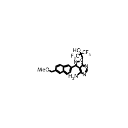 COCc1ccc2cc(-c3nn(CC(O)(C(F)(F)F)C(F)(F)F)c4ncnc(N)c34)ccc2c1